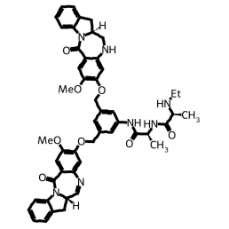 CCN[C@@H](C)C(=O)N[C@@H](C)C(=O)Nc1cc(COc2cc3c(cc2OC)C(=O)N2c4ccccc4C[C@H]2C=N3)cc(COc2cc3c(cc2OC)C(=O)N2c4ccccc4C[C@H]2CN3)c1